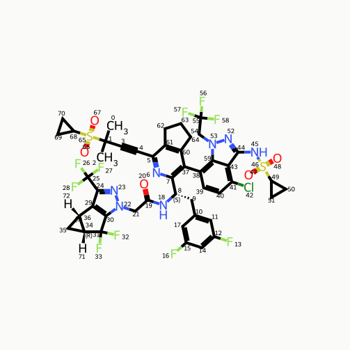 CC(C)(C#Cc1nc([C@H](Cc2cc(F)cc(F)c2)NC(=O)Cn2nc(C(F)(F)F)c3c2C(F)(F)[C@@H]2C[C@H]32)c(-c2ccc(Cl)c3c(NS(=O)(=O)C4CC4)nn(CC(F)(F)F)c23)c2c1CCC2)S(=O)(=O)C1CC1